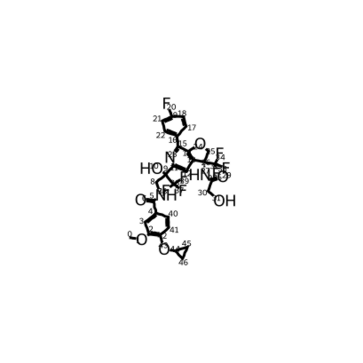 COc1cc(C(=O)NCC(O)(c2cc3c(c(-c4ccc(F)cc4)n2)OC[C@@]3(NC(=O)CO)C(F)(F)F)C(F)(F)F)ccc1OC1CC1